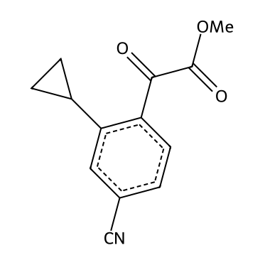 COC(=O)C(=O)c1ccc(C#N)cc1C1CC1